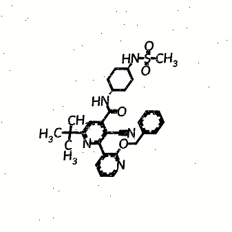 CC(C)(C)c1cc(C(=O)N[C@H]2CC[C@H](NS(C)(=O)=O)CC2)c(C#N)c(-c2cccnc2OCc2ccccc2)n1